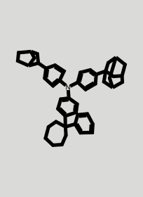 c1ccc(C2(c3ccc(N(c4ccc(C5CC6CCC5C6)cc4)c4ccc(C56CC7CC(CC(C7)C5)C6)cc4)cc3)CCCCCC2)cc1